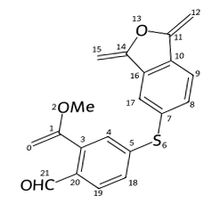 C=C(OC)c1cc(Sc2ccc3c(=C)oc(=C)c3c2)ccc1C=O